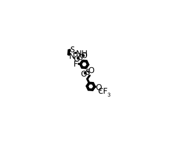 O=S(=O)(CCc1cccc(OC(F)(F)F)c1)c1ccc(S(=O)(=O)Nc2nccs2)c(F)c1